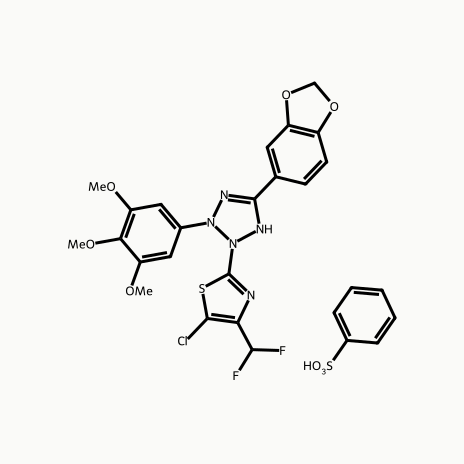 COc1cc(N2N=C(c3ccc4c(c3)OCO4)NN2c2nc(C(F)F)c(Cl)s2)cc(OC)c1OC.O=S(=O)(O)c1ccccc1